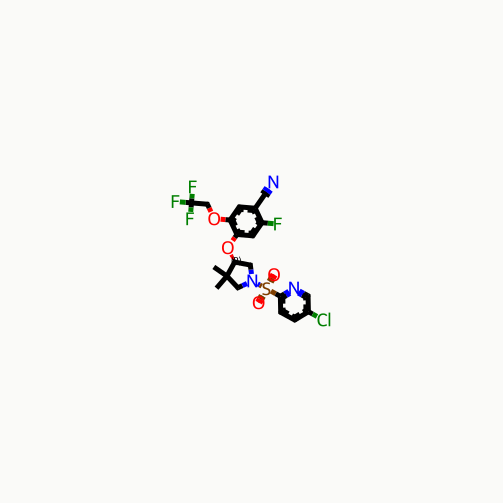 CC1(C)CN(S(=O)(=O)c2ccc(Cl)cn2)C[C@@H]1Oc1cc(F)c(C#N)cc1OCC(F)(F)F